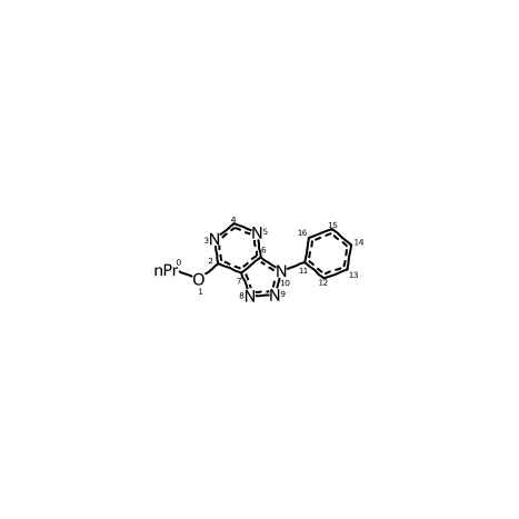 CCCOc1ncnc2c1nnn2-c1ccccc1